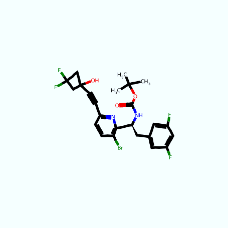 CC(C)(C)OC(=O)N[C@@H](Cc1cc(F)cc(F)c1)c1nc(C#CC2(O)CC(F)(F)C2)ccc1Br